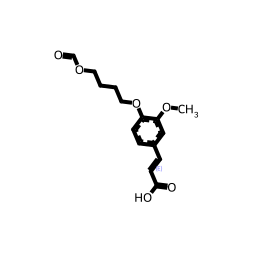 COc1cc(/C=C/C(=O)O)ccc1OCCCCOC=O